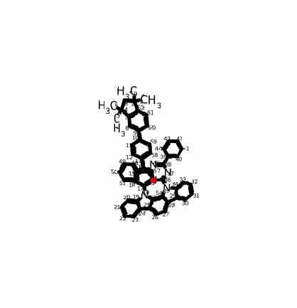 CC1(C)CC(C)(C)c2cc(-c3ccc(-c4ccc(-n5c6ccccc6c6ccc7c8ccccc8n(-c8nc(-c9ccccc9)nc(-c9ccccc9)n8)c7c65)cc4)cc3)ccc21